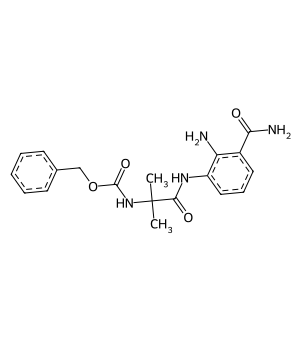 CC(C)(NC(=O)OCc1ccccc1)C(=O)Nc1cccc(C(N)=O)c1N